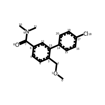 COCc1ccc(C(=O)N(C)C)cc1-c1ccc(Cl)cc1